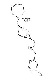 OC1(CN2CC3C(CNCc4cccc(Cl)c4)C3C2)CCCCC1